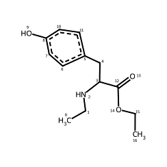 CCNC(Cc1ccc(O)cc1)C(=O)OCC